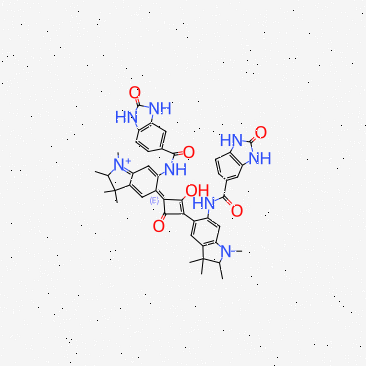 CC1N(C)c2cc(NC(=O)c3ccc4[nH]c(=O)[nH]c4c3)c(C3=C(O)/C(=c4/cc5c(cc4NC(=O)c4ccc6[nH]c(=O)[nH]c6c4)=[N+](C)C(C)C5(C)C)C3=O)cc2C1(C)C